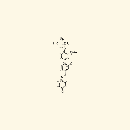 COc1cc(-n2cnc(CSc3ccc(Cl)cc3)cc2=O)ccc1OCC(C)(C)O